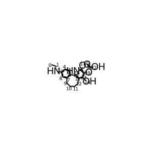 CCNc1ccc2c(c1)CCCCc1c-2[nH]c(=O)c(OC(=O)O)c1O